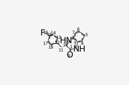 O=C1Nc2ccccc2N[C@H]1Cc1ccc(F)cc1